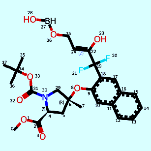 COC(=O)[C@@H]1C[C@@](C)(Oc2cc3ccccc3cc2C(F)(F)/C(O)=C/COBO)CN1C(=O)OC(C)(C)C